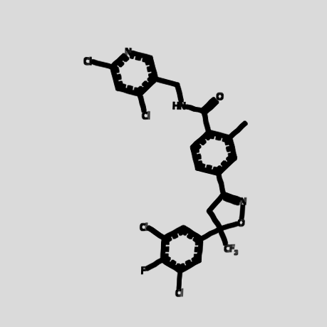 Cc1cc(C2=NOC(c3cc(Cl)c(F)c(Cl)c3)(C(F)(F)F)C2)ccc1C(=O)NCc1cnc(Cl)cc1Cl